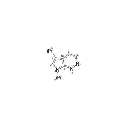 CC(C)c1cn(C(C)C)c2nnccc12